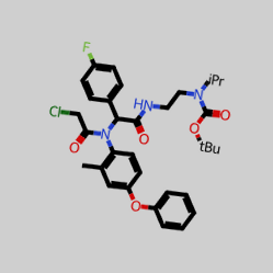 Cc1cc(Oc2ccccc2)ccc1N(C(=O)CCl)C(C(=O)NCCN(C(=O)OC(C)(C)C)C(C)C)c1ccc(F)cc1